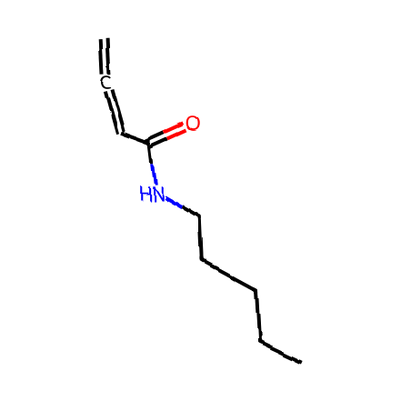 C=C=CC(=O)NCCCCC